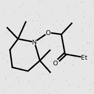 CCC(=O)C(C)ON1C(C)(C)CCCC1(C)C